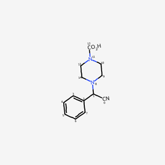 N#CC(c1ccccc1)N1CCN(C(=O)O)CC1